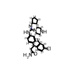 NC(=O)CC(c1ccc(N/C(=N/C2CCCC2)N2CCNCC2)cc1)c1ccc(Cl)cc1Cl